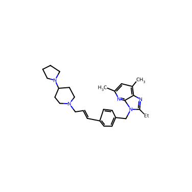 CCc1nc2c(C)cc(C)nc2n1Cc1ccc(C=CCN2CCC(N3CCCC3)CC2)cc1